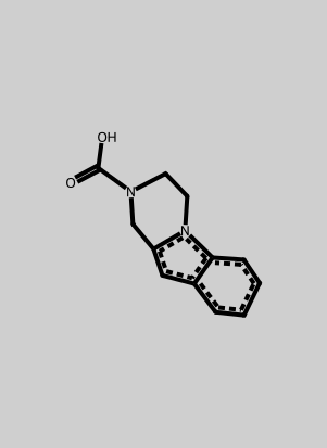 O=C(O)N1CCn2c(cc3ccccc32)C1